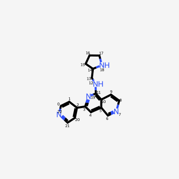 c1cc(-c2cc3cnccc3c(NCC3CCCN3)n2)ccn1